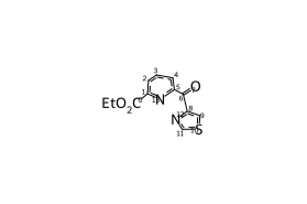 CCOC(=O)c1cccc(C(=O)c2cscn2)n1